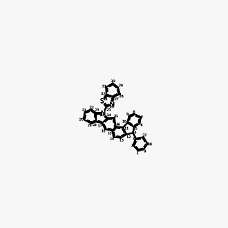 c1ccc(C2c3ccccc3-c3c2ccc2cc4c5ccccc5n(-c5nc6ccccc6s5)c4cc32)cc1